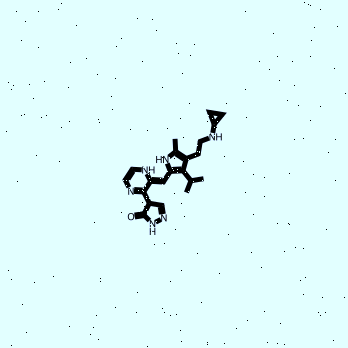 Cc1[nH]c(C=C2NC=CN=C2C2C=NNC2=O)c(C(C)C)c1CCNC1CC1